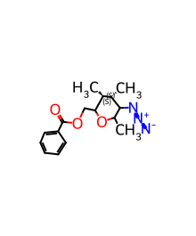 CC1OC(COC(=O)c2ccccc2)[C@@H](C)[C@H](C)C1N=[N+]=[N-]